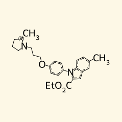 CCOC(=O)c1cc2cc(C)ccc2n1-c1ccc(OCCCN2CCC[C@H]2C)cc1